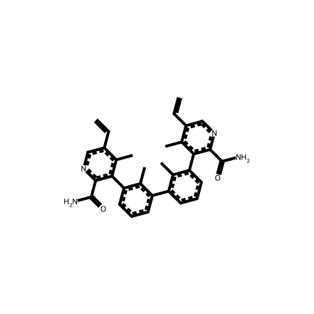 C=Cc1cnc(C(N)=O)c(-c2cccc(-c3cccc(-c4c(C(N)=O)ncc(C=C)c4C)c3C)c2C)c1C